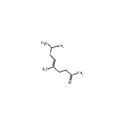 CC(=O)CCC(C)=CCC(C)C